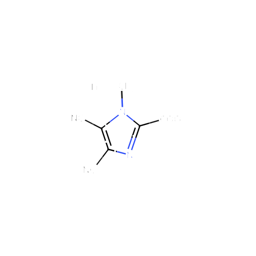 N#Cc1nc(C(=O)[O-])n(C(F)(F)F)c1C#N.[Li+]